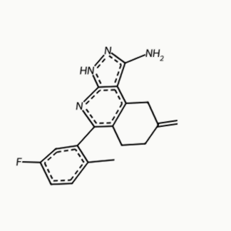 C=C1CCc2c(-c3cc(F)ccc3C)nc3[nH]nc(N)c3c2C1